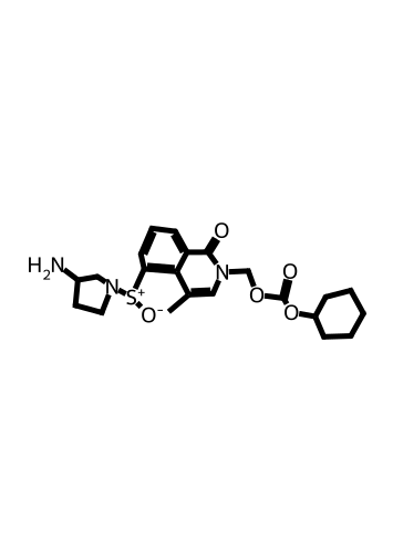 Cc1cn(COC(=O)OC2CCCCC2)c(=O)c2cccc([S+]([O-])N3CCC(N)C3)c12